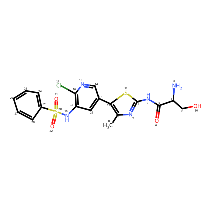 Cc1nc(NC(=O)[C@@H](N)CO)sc1-c1cnc(Cl)c(NS(=O)(=O)c2ccccc2)c1